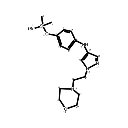 CC(C)(C)[Si](C)(C)Oc1ccc(Nc2cnn(CCN3CCOCC3)c2)cc1